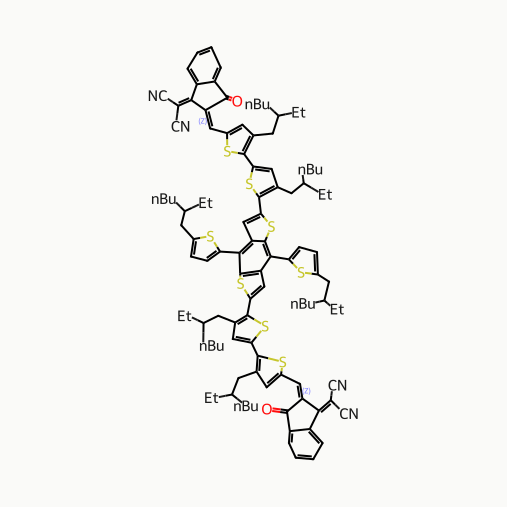 CCCCC(CC)Cc1ccc(-c2c3cc(-c4sc(-c5sc(/C=C6\C(=O)c7ccccc7C6=C(C#N)C#N)cc5CC(CC)CCCC)cc4CC(CC)CCCC)sc3c(-c3ccc(CC(CC)CCCC)s3)c3cc(-c4sc(-c5sc(/C=C6\C(=O)c7ccccc7C6=C(C#N)C#N)cc5CC(CC)CCCC)cc4CC(CC)CCCC)sc23)s1